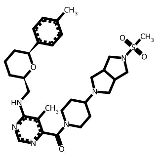 Cc1ccc([C@@H]2CCC[C@H](CNc3ncnc(C(=O)N4CCC(N5CC6CN(S(C)(=O)=O)CC6C5)CC4)c3C)O2)cc1